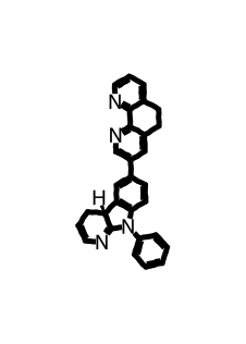 C1=CN=C2[C@H](C1)c1cc(-c3cnc4c(c3)CCc3cccnc3-4)ccc1N2c1ccccc1